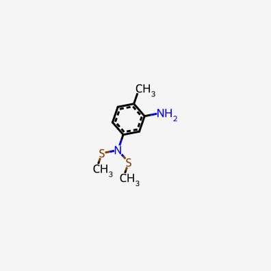 CSN(SC)c1ccc(C)c(N)c1